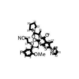 COc1ccc(F)cc1[C@H](Cn1c(=O)n(C(C)C(=O)N2CCCC2)c(=O)c2c(C)c(-n3nccn3)sc21)OCCC#N